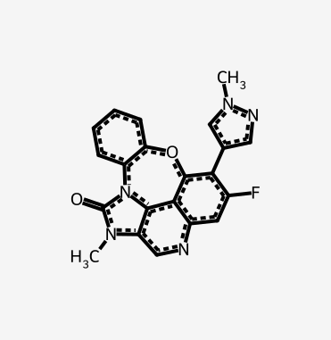 Cn1cc(-c2c(F)cc3ncc4c5c3c2oc2ccccc2n5c(=O)n4C)cn1